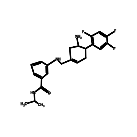 CC(C)NC(=O)c1cccc(NCC2=CCC(c3cc(F)c(F)cc3F)C(N)C2)c1